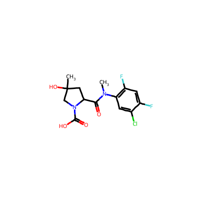 CN(C(=O)C1CC(C)(O)CN1C(=O)O)c1cc(Cl)c(F)cc1F